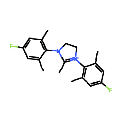 CC1=[N+](c2c(C)cc(F)cc2C)CCN1c1c(C)cc(F)cc1C